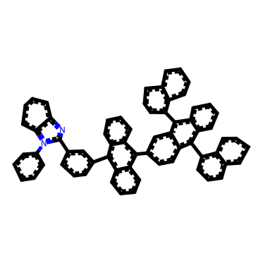 c1ccc(-n2c(-c3cccc(-c4c5ccccc5c(-c5ccc6c(-c7cccc8ccccc78)c7ccccc7c(-c7cccc8ccccc78)c6c5)c5ccccc45)c3)nc3ccccc32)cc1